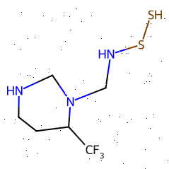 FC(F)(F)C1CCNCN1CNSS